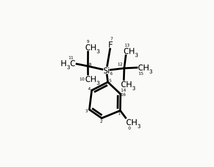 Cc1cccc([Si](F)(C(C)(C)C)C(C)(C)C)c1